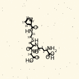 NC(CCC(=O)NC(CSCCNC(=O)c1cccnc1)C(=O)NCC(=O)O)C(=O)O